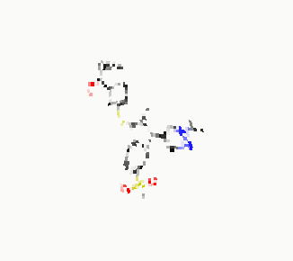 CCn1cc(C2C(C)=C(Sc3cccc(C(=O)OC)c3)c3ccc(S(C)(=O)=O)cc32)cn1